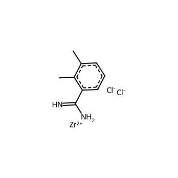 Cc1cccc(C(=N)N)c1C.[Cl-].[Cl-].[Zr+2]